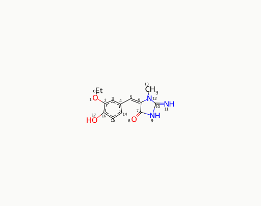 CCOc1cc(/C=C2\C(=O)NC(=N)N2C)ccc1O